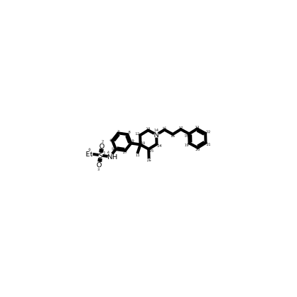 CCS(=O)(=O)Nc1cccc(C2(C)CCN(CCCc3ccccc3)CC2C)c1